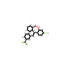 Fc1ccc2c(c1)OCc1ccccc1C2=Cc1cccc(C(F)F)c1